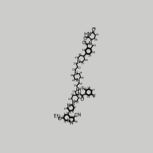 CCOc1cc(-c2ccc(N3CCC(COCCN4CCN(CCCN5CCC(c6ccc7c(c6)C(=O)N(C6CCC(=O)NC6=O)C7)CC5)CC4)(NC(=O)c4cc(F)ccc4F)CC3)nc2)c2c(C#N)cnn2c1